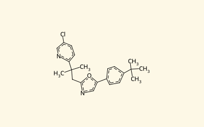 CC(C)(C)c1ccc(-c2cnc(CC(C)(C)c3ccc(Cl)cn3)o2)cc1